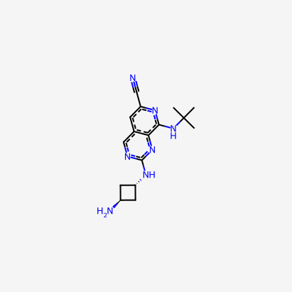 CC(C)(C)Nc1nc(C#N)cc2cnc(N[C@H]3C[C@H](N)C3)nc12